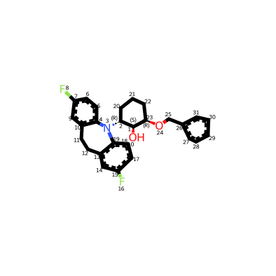 O[C@H]1[C@H](N2c3ccc(F)cc3CCc3cc(F)ccc32)CCC[C@H]1OCc1ccccc1